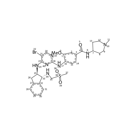 COc1cc(C(=O)NC2CCN(C)CC2)ccc1Nc1ncc(Br)c(N[C@@H]2Cc3ccccc3[C@H]2NCS(C)(=O)=O)n1